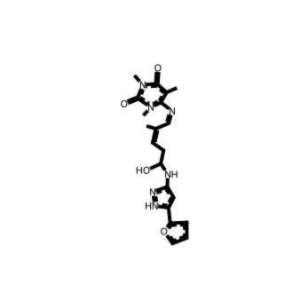 CC(/C=N\c1c(C)c(=O)n(C)c(=O)n1C)=C/CC(O)Nc1cc(-c2ccco2)[nH]n1